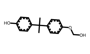 CC(C)(c1ccc(O)cc1)c1ccc(OCO)cc1